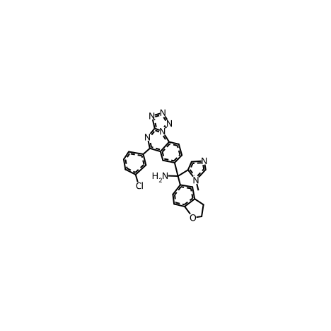 Cn1cncc1C(N)(c1ccc2c(c1)CCO2)c1ccc2c(c1)c(-c1cccc(Cl)c1)nc1nnnn12